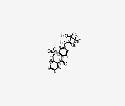 CC(O)(C(=O)Nc1ccc2c(c1)S(=O)(=O)Cc1ncccc1C2=O)C(F)(F)F